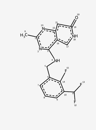 Cc1nc(NCc2cccc(C(F)F)c2F)c2c[nH]c(=O)cc2n1